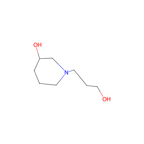 OCCCN1CCCC(O)C1